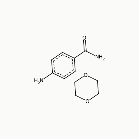 C1COCCO1.NC(=O)c1ccc(N)cc1